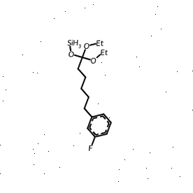 CCOC(CCCCCc1cccc(F)c1)(O[SiH3])OCC